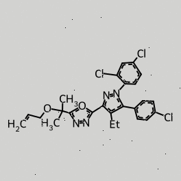 C=CCOC(C)(C)c1nnc(-c2nn(-c3ccc(Cl)cc3Cl)c(-c3ccc(Cl)cc3)c2CC)o1